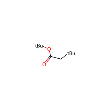 CC(C)(C)CC(=O)OC(C)(C)C